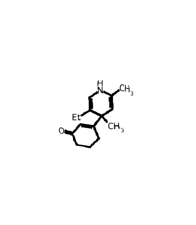 CCC1=CNC(C)=CC1(C)C1=CC(=O)CCC1